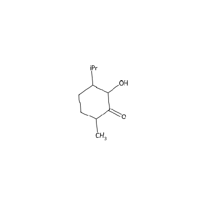 CC1CCC(C(C)C)C(O)C1=O